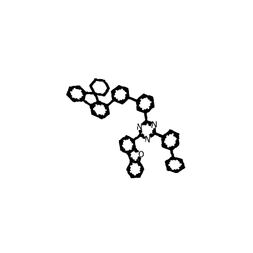 c1ccc(-c2cccc(-c3nc(-c4cccc(-c5cccc(-c6cccc7c6C6(CCCCC6)c6ccccc6-7)c5)c4)nc(-c4cccc5c4oc4ccccc45)n3)c2)cc1